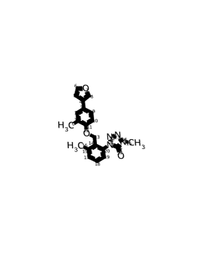 Cc1cc(-c2ccoc2)ccc1OCc1c(C)cccc1-n1nnn(C)c1=O